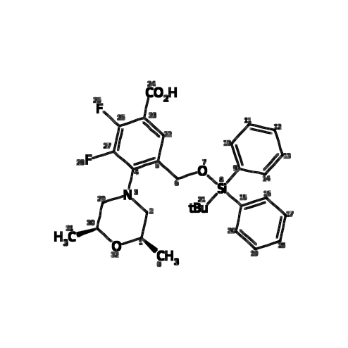 C[C@@H]1CN(c2c(CO[Si](c3ccccc3)(c3ccccc3)C(C)(C)C)cc(C(=O)O)c(F)c2F)C[C@H](C)O1